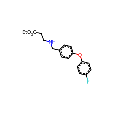 CCOC(=O)CCNCc1ccc(Oc2ccc(F)cc2)cc1